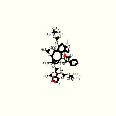 CCOC(C)O[C@@H](C(=O)O[C@H]1C[C@@]2(O)[C@@H](OC(=O)c3ccccc3)[C@@H]3[C@]4(OC(C)=O)CO[C@@H]4C[C@H](OC(=O)OC(C)(C)C)[C@@]3(C)C(=O)[C@H](OC(=O)O)C(=C1C)C2(C)C)[C@@H](NC(=O)OC(C)(C)C)c1ccccc1